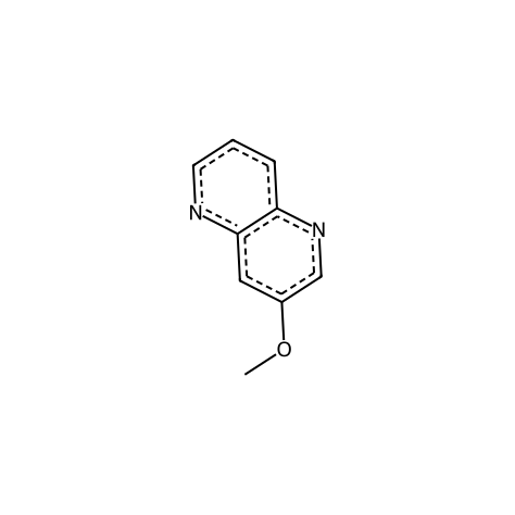 COc1cnc2cccnc2c1